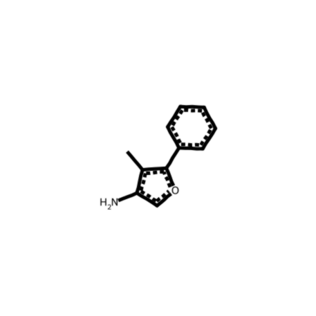 Cc1c(N)coc1-c1ccccc1